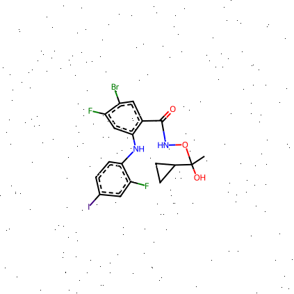 CC(O)(ONC(=O)c1cc(Br)c(F)cc1Nc1ccc(I)cc1F)C1CC1